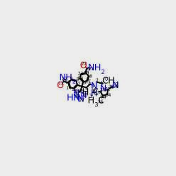 C=C(CNCCC(c1ccc(C(N)=O)cc1)(c1ccc(C(N)=O)cc1)c1nn[nH]n1)N1C(C#N)C[C@H](C)C1C